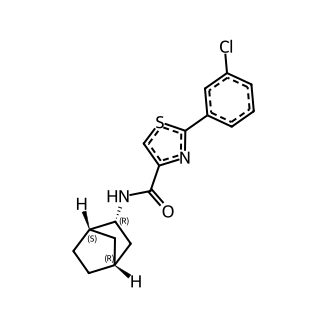 O=C(N[C@@H]1C[C@@H]2CC[C@H]1C2)c1csc(-c2cccc(Cl)c2)n1